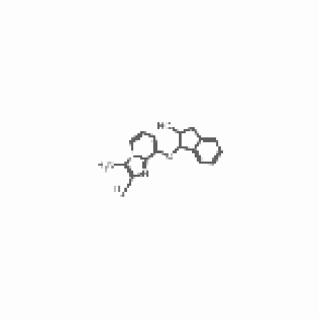 Cc1nc2c(OC3c4ccccc4CC3O)cccn2c1N